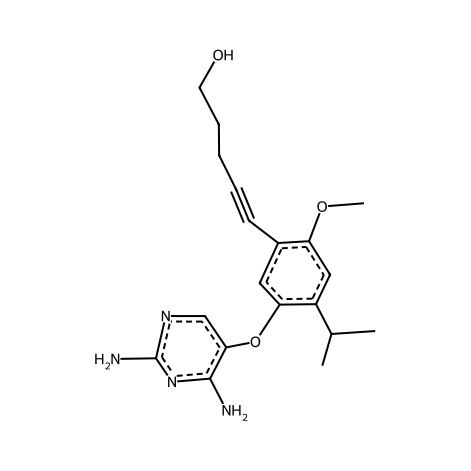 COc1cc(C(C)C)c(Oc2cnc(N)nc2N)cc1C#CCCCO